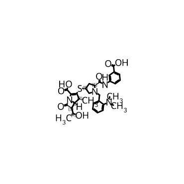 C[C@@H](O)[C@H]1C(=O)N2C(C(=O)O)=C(S[C@H]3C[C@@H](C(=O)Nc4cccc(C(=O)O)c4)N(Cc4ccccc4N(C)C)C3)[C@H](C)[C@H]12